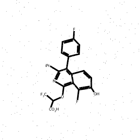 CC(C)c1nc(OC(C(=O)O)C(F)(F)F)c2c(F)c(O)ccc2c1-c1ccc(F)cc1